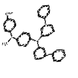 COc1ccc(N(C)c2ccc(N(c3cccc(-c4ccccc4)c3)c3cccc(-c4ccccc4)c3)cc2)cc1